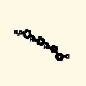 CN1CCC(CNc2ccc(CNc3cnn(-c4cccc(Cl)c4)c3)cn2)CC1